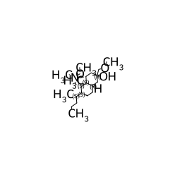 CCC[C@H](C)[C@@H]1CC[C@@H]2C[C@@](O)(COC)CC[C@]2(C)[C@H]1CN(C)OC